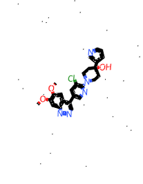 COc1cc2nncc(-c3cnc(N4CCC(O)(c5cccnc5)CC4)c(Cl)c3)c2cc1OC